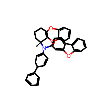 C[C@@]1(N(C2=CCC(c3ccccc3)C=C2)c2ccc3c(c2)oc2ccccc23)CCCC2=C1Oc1ccccc1O2